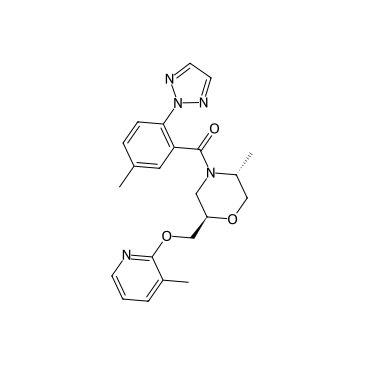 Cc1ccc(-n2nccn2)c(C(=O)N2C[C@H](COc3ncccc3C)OC[C@H]2C)c1